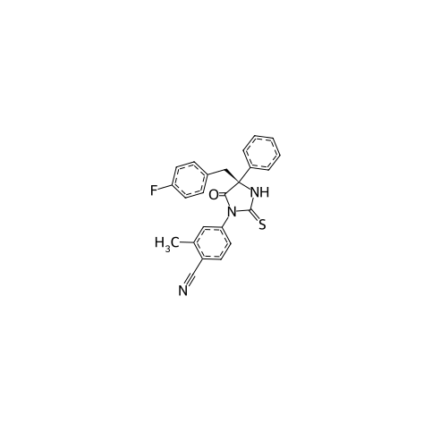 Cc1cc(N2C(=O)[C@](Cc3ccc(F)cc3)(c3ccccc3)NC2=S)ccc1C#N